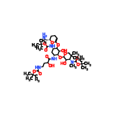 CN(C(=O)OC(C)(C)C)[C@@H]1C(O)[C@@H](OC2C(O)C(OC3=CCC[C@@H](CN)O3)[C@@H](NC(=O)OC(C)(C)C)C[C@H]2NC(=O)[C@@H](O)CCNC(=O)OC(C)(C)C)OCC1(C)C